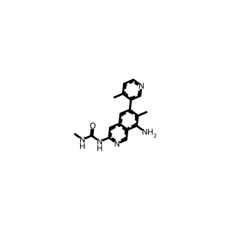 CNC(=O)Nc1cc2cc(-c3cnccc3C)c(C)c(N)c2cn1